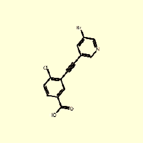 O=C(O)c1ccc(Cl)c(C#Cc2cncc(Br)c2)c1